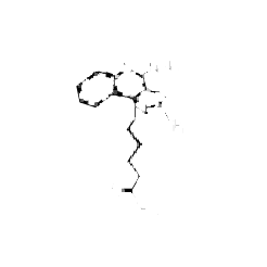 CCCc1nc2c(N)nc3ccccc3c2n1CCCCC(N)=O